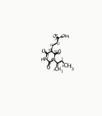 CCC(C)N1C(=O)NC(=O)C(CCC(=O)O)C1=O